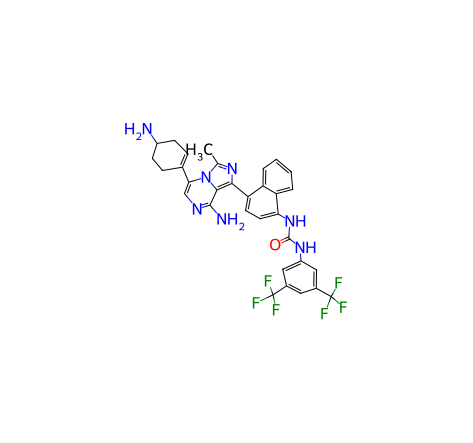 Cc1nc(-c2ccc(NC(=O)Nc3cc(C(F)(F)F)cc(C(F)(F)F)c3)c3ccccc23)c2c(N)ncc(C3=CCC(N)CC3)n12